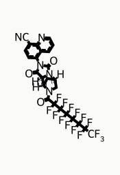 N#Cc1ccc(N2C(=O)[C@@H]3[C@@H]4C[C@@H](CN4C(=O)C(F)(F)C(F)(F)C(F)(F)C(F)(F)C(F)(F)C(F)(F)C(F)(F)F)N3C2=O)c2cccnc12